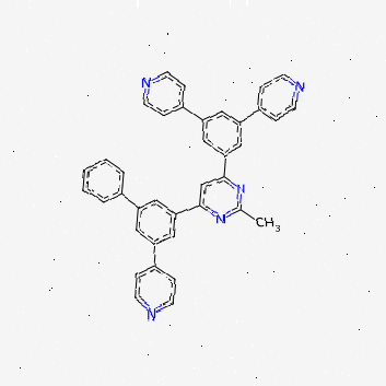 Cc1nc(-c2cc(-c3ccccc3)cc(-c3ccncc3)c2)cc(-c2cc(-c3ccncc3)cc(-c3ccncc3)c2)n1